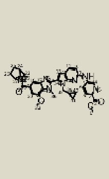 COC(=O)c1ccc(Nc2ccc3cc(-c4nc5cc(C(=O)N6CC7CCC6[C@@H]7C)cc(OC)c5n4C)n(CC4CC4)c3n2)cn1